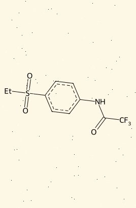 CCS(=O)(=O)c1ccc(NC(=O)C(F)(F)F)cc1